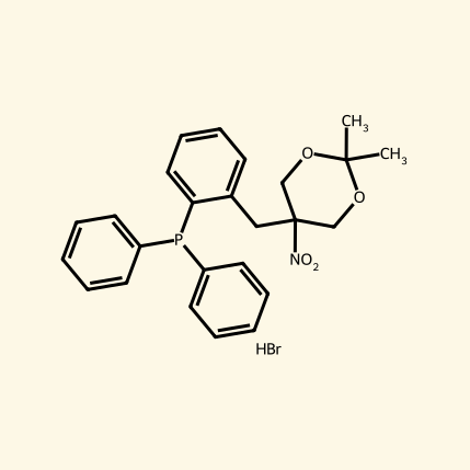 Br.CC1(C)OCC(Cc2ccccc2P(c2ccccc2)c2ccccc2)([N+](=O)[O-])CO1